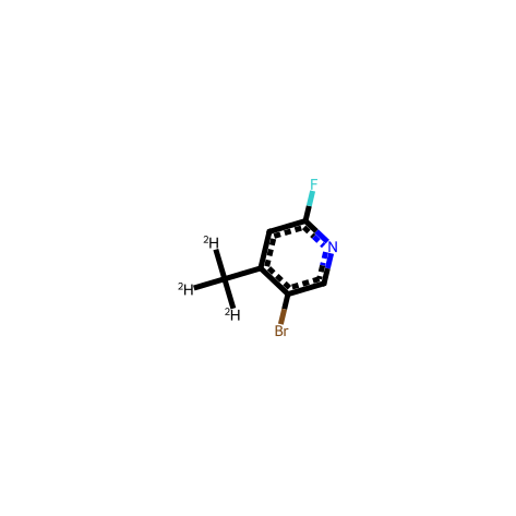 [2H]C([2H])([2H])c1cc(F)ncc1Br